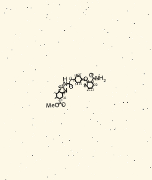 COC(=O)c1ccc2sc(NC(=O)Cc3ccc(Oc4ncccc4C(N)=O)cc3)nc2c1